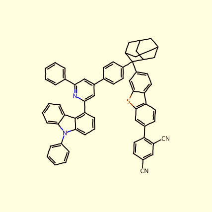 N#Cc1ccc(-c2ccc3c(c2)sc2cc(C4(c5ccc(-c6cc(-c7ccccc7)nc(-c7cccc8c7c7ccccc7n8-c7ccccc7)c6)cc5)C5CC6CC(C5)CC4C6)ccc23)c(C#N)c1